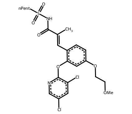 CCCCCS(=O)(=O)NC(=O)/C(C)=C/c1ccc(OCCOC)cc1Oc1ncc(Cl)cc1Cl